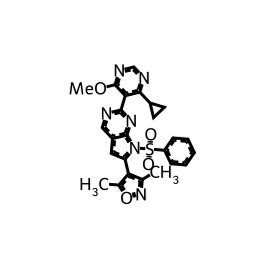 COc1ncnc(C2CC2)c1-c1ncc2cc(-c3c(C)noc3C)n(S(=O)(=O)c3ccccc3)c2n1